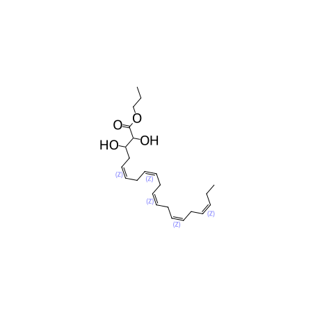 CC/C=C\C/C=C\C/C=C\C/C=C\C/C=C\CC(O)C(O)C(=O)OCCC